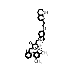 Cc1cc(C)c(S(=O)(=O)NC(Cn2ncc3cc(OCCc4ccc5c(n4)NCCC5)ccc32)C(=O)CCc2ccccc2)c(C)c1